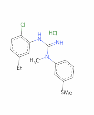 CCc1ccc(Cl)c(NC(=N)N(C)c2cccc(SC)c2)c1.Cl